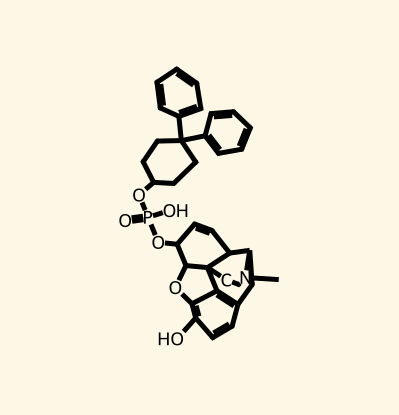 CN1CCC23c4c5ccc(O)c4OC2C(OP(=O)(O)OC2CCC(c4ccccc4)(c4ccccc4)CC2)C=CC3C1C5